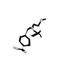 COCCN(C[C@H]1CC[C@H](C(=O)O)CC1)C(C)(C)C